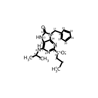 CCC[S+]([O-])c1nc(NC(C)C)c2[nH]c(=O)n(Cc3ccccc3)c2n1